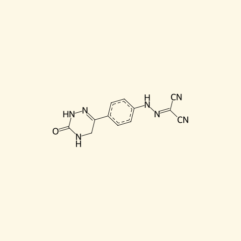 N#CC(C#N)=NNc1ccc(C2=NNC(=O)NC2)cc1